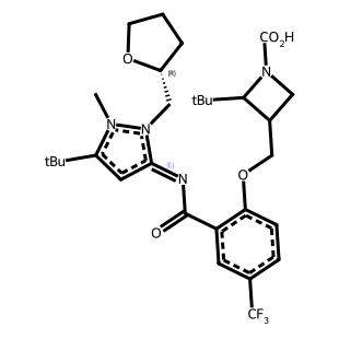 Cn1c(C(C)(C)C)c/c(=N\C(=O)c2cc(C(F)(F)F)ccc2OCC2CN(C(=O)O)C2C(C)(C)C)n1C[C@H]1CCCO1